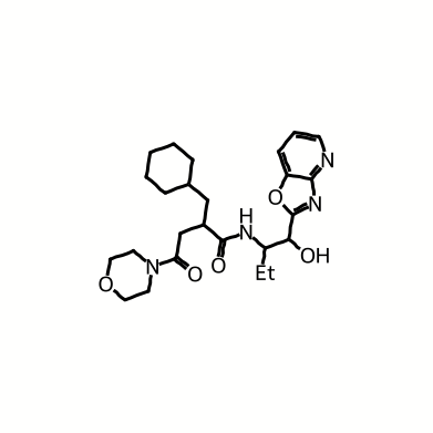 CCC(NC(=O)C(CC(=O)N1CCOCC1)CC1CCCCC1)C(O)c1nc2ncccc2o1